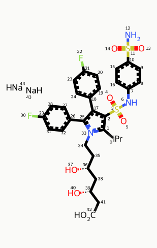 CC(C)c1c(S(=O)(=O)Nc2ccc(S(N)(=O)=O)cc2)c(-c2ccc(F)cc2)c(-c2ccc(F)cc2)n1CC[C@@H](O)C[C@@H](O)CC(=O)O.[NaH].[NaH]